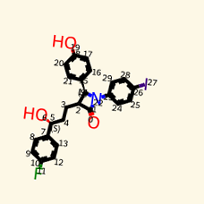 O=C1C(CC[C@H](O)c2ccc(F)cc2)[C@@H](c2ccc(O)cc2)N1c1ccc(I)cc1